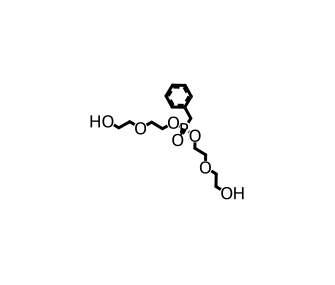 O=P(Cc1ccccc1)(OCCOCCO)OCCOCCO